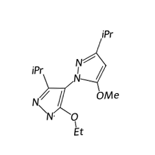 CCOC1=C(n2nc(C(C)C)cc2OC)C(C(C)C)=N[N]1